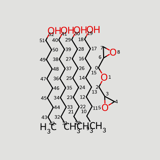 C(OCC1CO1)C1CO1.CCCCCCCCCCO.CCCCCCCCCCO.CCCCCCCCCCO.CCCCCCCCCCO